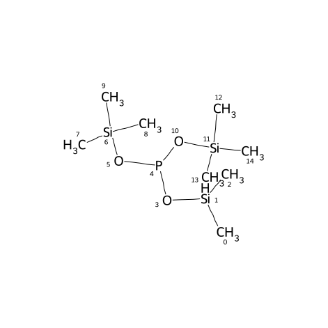 C[SiH](C)OP(O[Si](C)(C)C)O[Si](C)(C)C